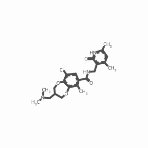 Cc1cc(C)c(CNC(=O)c2cc(Cl)c3c(c2C)OCC(CN(C)C)CO3)c(=O)[nH]1